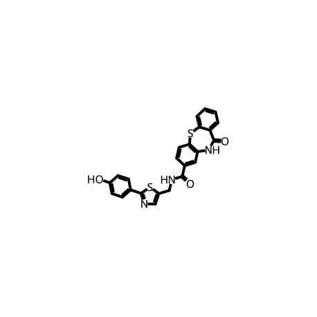 O=C(NCc1cnc(-c2ccc(O)cc2)s1)c1ccc2c(c1)NC(=O)c1ccccc1S2